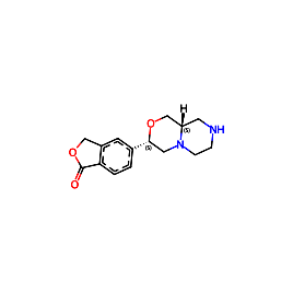 O=C1OCc2cc([C@H]3CN4CCNC[C@H]4CO3)ccc21